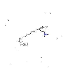 CCCCCCCCCC(CCCCCCC[C@H]1C[C@H]1CCCCCCCC)CCN(C)C